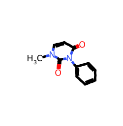 Cn1ccc(=O)n(-c2ccccc2)c1=O